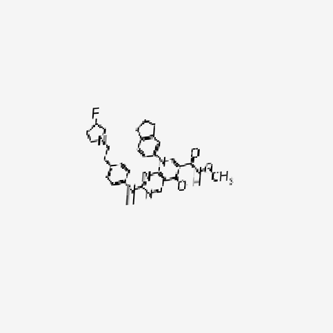 CONC(=O)c1cn(-c2ccc3c(c2)CCC3)c2nc(Nc3ccc(CCN4CC[C@@H](F)C4)cc3)ncc2c1=O